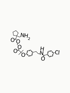 CC(C)(Oc1ccc(CCNC(=O)c2ccc(Cl)cc2)cc1)C(=O)OCOC(=O)C1(CN)CCCC1